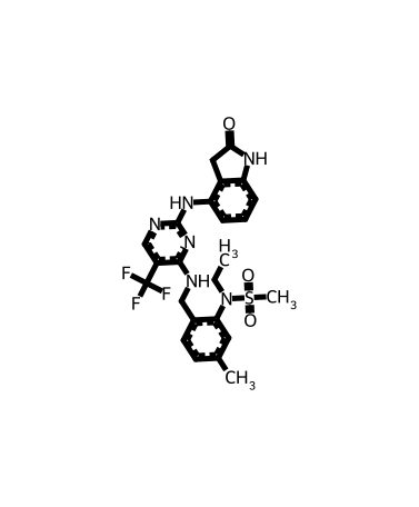 CCN(c1cc(C)ccc1CNc1nc(Nc2cccc3c2CC(=O)N3)ncc1C(F)(F)F)S(C)(=O)=O